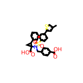 Cc1csc(-c2ccc(S(=O)(=O)N(Cc3ccc(C(=O)O)cc3)C3(C(=O)O)CC3c3ccccc3)cc2)c1